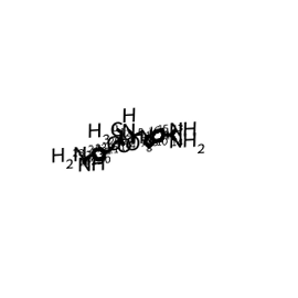 CC(NC(=O)Cn1ccc2cc(C(=N)N)ccc21)C(=O)OCc1ccc(C(=N)N)cc1